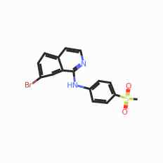 CS(=O)(=O)c1ccc(Nc2nccc3ccc(Br)cc23)cc1